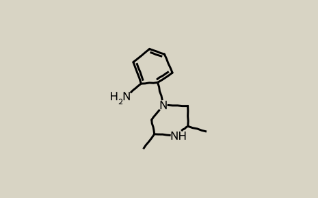 CC1CN(c2ccccc2N)CC(C)N1